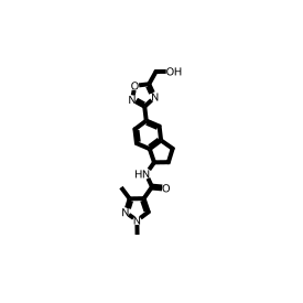 Cc1nn(C)cc1C(=O)NC1CCc2cc(-c3noc(CO)n3)ccc21